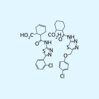 O=C(O)C1CC=CCC1C(=O)Nc1nnc(-c2ccccc2Cl)s1.O=C(O)C1CCCCC1C(=O)Nc1nnc(COc2ccc(Cl)cc2)s1